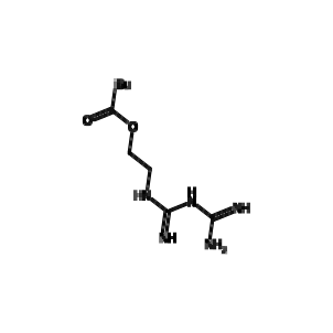 CCC(C)C(=O)OCCNC(=N)NC(=N)N